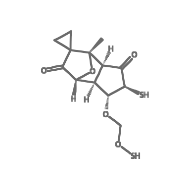 C[C@@]12O[C@@H](C(=O)C13CC3)[C@@H]1[C@@H](OCOS)[C@H](S)C(=O)[C@@H]12